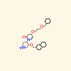 O=C1CC(OCCCOCc2ccccc2)C=CN1C1CCNCC1OCc1ccc2ccccc2c1